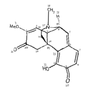 COC1=CC2[C@@H]3C=C4C=CC(=O)C(O)=C4[C@]2(CCN3C)CC1=O